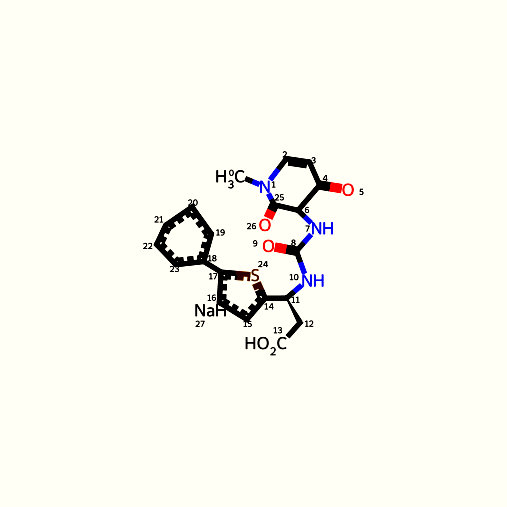 CN1C=CC(=O)C(NC(=O)N[C@@H](CC(=O)O)c2ccc(-c3ccccc3)s2)C1=O.[NaH]